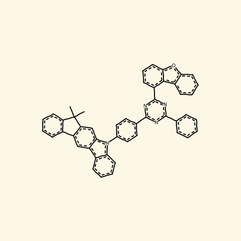 CC1(C)c2ccccc2-c2cc3c4ccccc4n(-c4ccc(-c5nc(-c6ccccc6)nc(-c6cccc7oc8ccccc8c67)n5)cc4)c3cc21